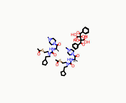 CC(=O)SCCN(CCC1CCCC1)C(=O)N[C@H](C)C(=O)N1CCN(C)CC1.CC(=O)SCCN(CCC1CCCC1)C(=O)N[C@H](C)C(=O)N1CCN(C)CC1.O=C(O)C(O)(C(=O)c1ccccc1)C(O)(C(=O)O)C(=O)c1ccccc1